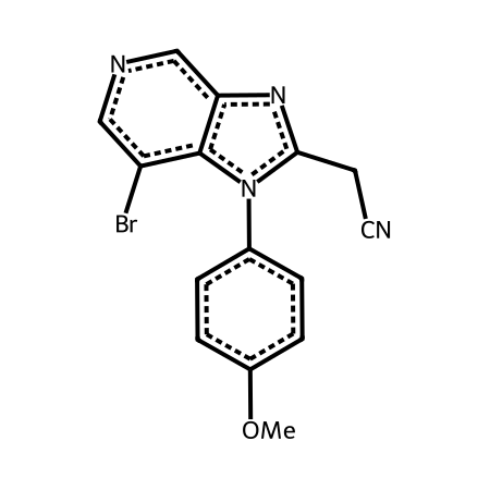 COc1ccc(-n2c(CC#N)nc3cncc(Br)c32)cc1